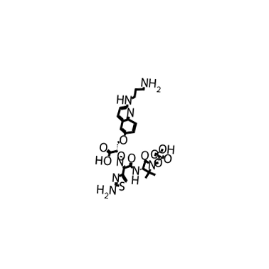 CC1(C)[C@H](NC(=O)/C(=N\O[C@@H](COc2ccc3nc(NCCCN)ccc3c2)C(=O)O)c2csc(N)n2)C(=O)N1OS(=O)(=O)O